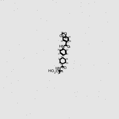 CC(C)(NC(=O)[C@H]1CC[C@H](c2ccc(NC(=O)c3ccc4c(c3)OCO4)cc2)CC1)C(=O)O